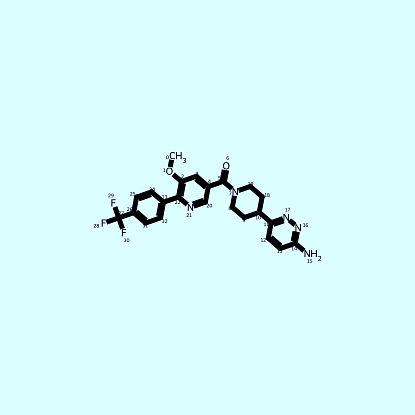 COc1cc(C(=O)N2CCC(c3ccc(N)nn3)CC2)cnc1-c1ccc(C(F)(F)F)cc1